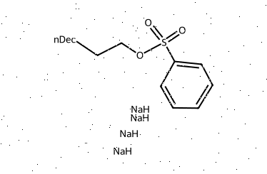 CCCCCCCCCCCCOS(=O)(=O)c1ccccc1.[NaH].[NaH].[NaH].[NaH]